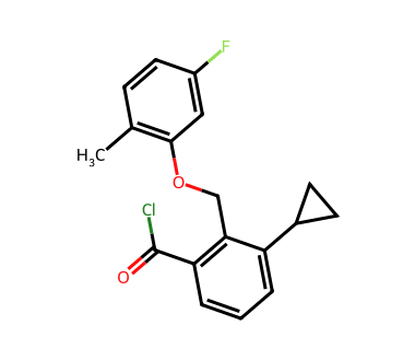 Cc1ccc(F)cc1OCc1c(C(=O)Cl)cccc1C1CC1